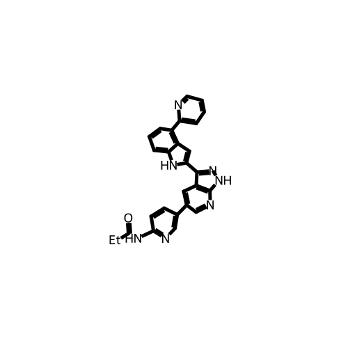 CCC(=O)Nc1ccc(-c2cnc3[nH]nc(-c4cc5c(-c6ccccn6)cccc5[nH]4)c3c2)cn1